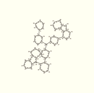 c1ccc(-c2cccc(N(c3ccc(-c4ccccc4-n4c5ccccc5c5ccccc54)cc3)c3ccc(-c4cccc5sc6ccccc6c45)cc3)c2)cc1